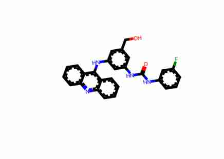 O=C(Nc1cccc(F)c1)Nc1cc(CO)cc(Nc2c3ccccc3nc3ccccc23)c1